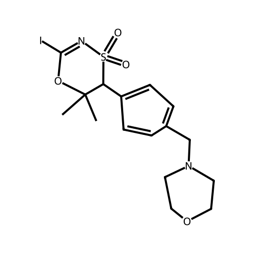 CC1(C)OC(I)=NS(=O)(=O)C1c1ccc(CN2CCOCC2)cc1